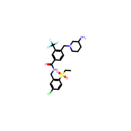 CCS(=O)(=O)c1ccc(Cl)cc1CNC(=O)c1ccc(CN2CCCC(N)C2)c(C(F)(F)F)c1